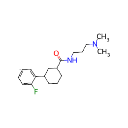 CN(C)CCCNC(=O)C1CCCC(c2c[c]ccc2F)C1